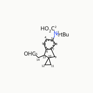 CC(C)(C)N(C(=O)O)c1ccc2c(c1)CC1(CC1)C2CC=O